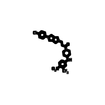 O=C(CCN1CC2CN(c3ccc(Cl)cc3)CC2C1)N1CCC(Nc2ccc([N+](=O)[O-])c(C(F)(F)F)c2)CC1